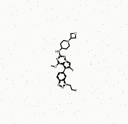 COc1nc(NC2CCN(C3COC3)CC2)nn2cc(F)c(-c3ccc4nnn(CCF)c4c3)c12